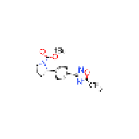 CC(C)(C)OC(=O)N1CCCC1c1ccc(-c2noc(C(F)(F)F)n2)cc1